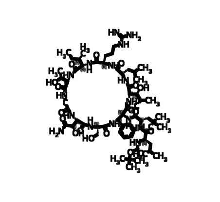 CC[C@H](C)[C@@H]1NC(=O)[C@@H](CCCNC(=N)N)NC(=O)[C@H](CC(C)C)NC(=O)[C@H]([C@H](O)C(C)C)NC(=O)[C@@H](NC(=O)[C@H](CC(C)(C)C)NC(=O)[C@@H](CC(C)C)NC(=O)OC(C)(C)C)[C@@H](c2ccccc2)NC(=O)[C@H](CO)NC(=O)[C@H]([C@H](O)C(N)=O)NC(=O)CNC(=O)[C@H]([C@H](C)O)NC1=O